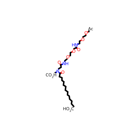 CC(=O)COCCOCCNC(=O)COCCOCCNC(=O)CCN(CC(=O)O)C(=O)CCCCCCCCCCCCCCC(=O)O